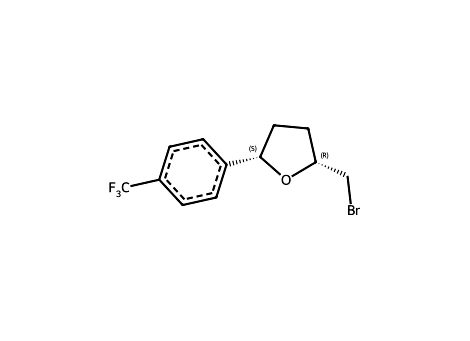 FC(F)(F)c1ccc([C@@H]2CC[C@H](CBr)O2)cc1